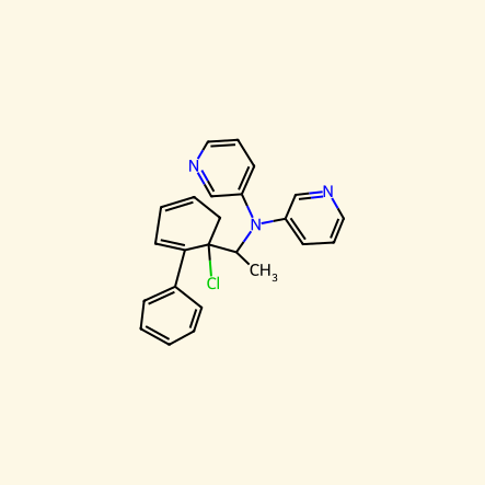 CC(N(c1cccnc1)c1cccnc1)C1(Cl)CC=CC=C1c1ccccc1